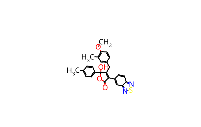 COc1ccc(CC2=C(c3ccc4nsnc4c3)C(=O)OC2(O)c2ccc(C)cc2)cc1C